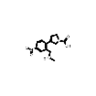 C[S+]([O-])Cc1cc([N+](=O)[O-])ccc1C1=CCN(C(=O)O)C1